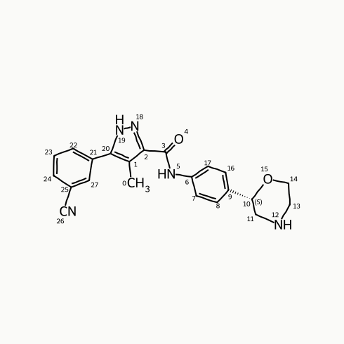 Cc1c(C(=O)Nc2ccc([C@H]3CNCCO3)cc2)n[nH]c1-c1cccc(C#N)c1